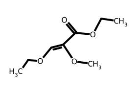 CCOC=C(OC)C(=O)OCC